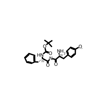 COc1ccc(C[C@H](N)C(=O)[N]C(=O)[C@H](Cc2ccccc2)NC(=O)OC(C)(C)C)cc1